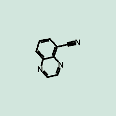 N#Cc1cccc2nccnc12